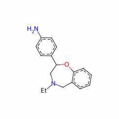 CCN1Cc2ccccc2OC(c2ccc(N)cc2)C1